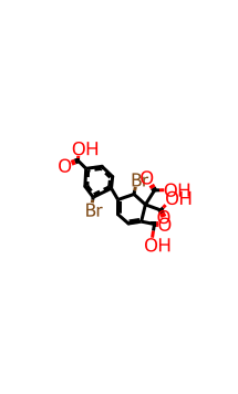 O=C(O)C1=CC=C(c2ccc(C(=O)O)cc2Br)C(Br)C1(C(=O)O)C(=O)O